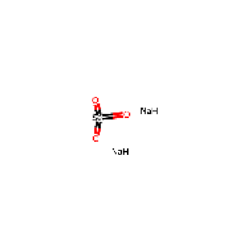 O=[Se](=O)=O.[NaH].[NaH]